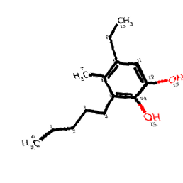 CCCCCc1c(C)c(CC)cc(O)c1O